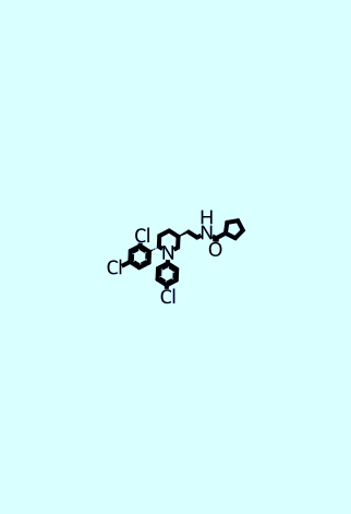 O=C(NCC[C@@H]1CC[C@@H](c2ccc(Cl)cc2Cl)N(c2ccc(Cl)cc2)C1)C1CCCC1